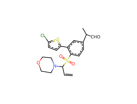 C=CC(N1CCOCC1)S(=O)(=O)c1ccc(C(C)C=O)cc1-c1ccc(Cl)s1